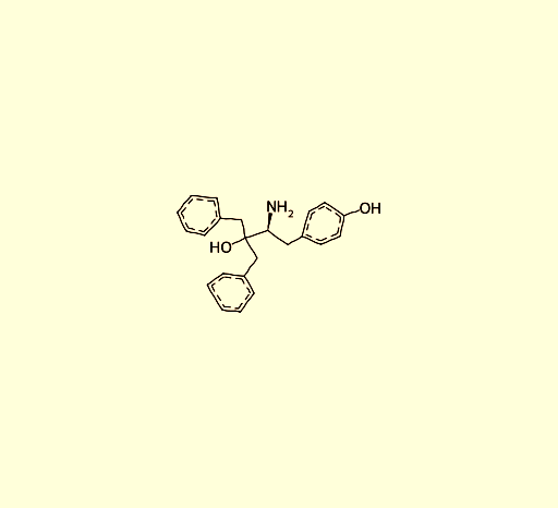 N[C@@H](Cc1ccc(O)cc1)C(O)(Cc1ccccc1)Cc1ccccc1